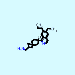 CCCc1cc2c(C3(C)CCC4(CC3)CC(CN)C4)nccc2cc1CC